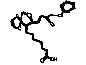 O=C(O)CCCCCCC1C(C=CC(=O)COc2ccccc2)OCC12OCCO2